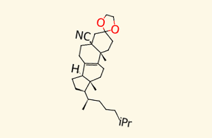 CC(C)CCC[C@@H](C)[C@H]1CC[C@H]2C3=C(CC[C@]12C)[C@@]1(C)CCC2(C[C@@]1(C#N)CC3)OCCO2